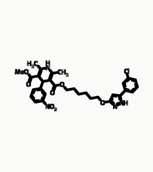 COC(=O)C1=C(C)NC(C)=C(C(=O)OCCCCCCOc2cc(-c3cccc(Cl)c3)[nH]n2)C1c1cccc([N+](=O)[O-])c1